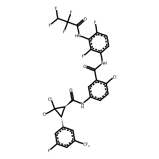 O=C(Nc1ccc(F)c(NC(=O)C(F)(F)C(F)F)c1F)c1cc(NC(=O)[C@H]2[C@H](c3cc(F)cc(C(F)(F)F)c3)C2(Cl)Cl)ccc1Cl